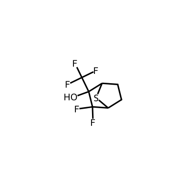 OC1(C(F)(F)F)C2CCC(S2)C1(F)F